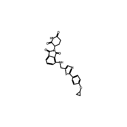 O=C1CCC(N2C(=O)c3cccc(NCc4cnc(-c5ccc(OC6CC6)cc5)s4)c3C2=O)C(=O)N1